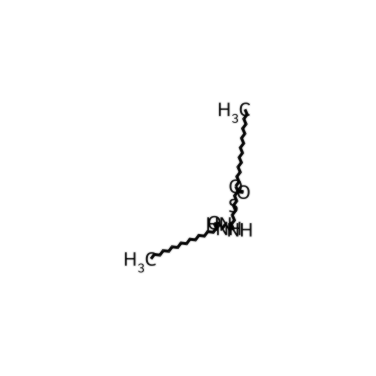 CCCCCCCCCCCCCCCCOC(=O)CCSCCCC(=N)NNC(=O)CCCCCCCCCCCCCCC